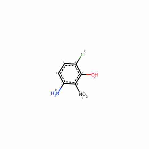 Nc1ccc(Cl)c(O)c1[N+](=O)[O-]